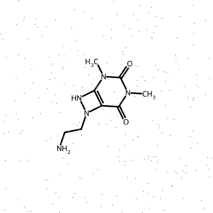 Cn1c(=O)c2c([nH]n2CCN)n(C)c1=O